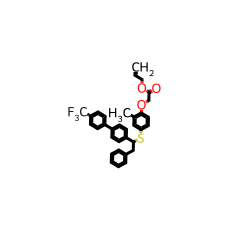 C=CCOC(=O)COc1ccc(SC(Cc2ccccc2)c2ccc(-c3ccc(C(F)(F)F)cc3)cc2)cc1C